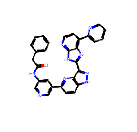 O=C(Cc1ccccc1)Nc1cncc(-c2ccc3[nH]nc(-c4nc5c(-c6ccccn6)ccnc5[nH]4)c3n2)c1